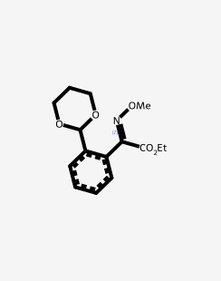 CCOC(=O)/C(=N\OC)c1ccccc1C1OCCCO1